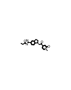 CCc1nc(-c2ccc3c(c2)CC[C@H]3CC(=O)c2ccn(C)c(=O)c2)no1